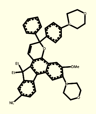 CCC1(CC)c2cc(C#N)ccc2-c2c1c1c(c3cc(OC)c(N4CCOCC4)cc23)OC(c2ccccc2)(c2ccc(N3CCOCC3)cc2)C=C1